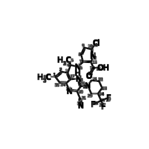 Cc1cc([C@@H](C)Nc2ccc(Cl)nc2C(=O)O)c2nc(N3CCCC(C(F)(F)F)C3)c(C#N)nc2c1